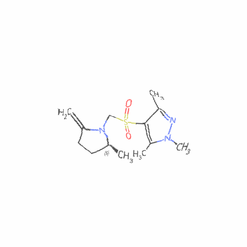 C=C1CC[C@H](C)N1CS(=O)(=O)c1c(C)nn(C)c1C